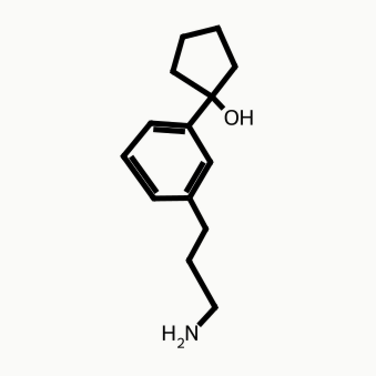 NCCCc1cccc(C2(O)CCCC2)c1